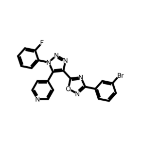 Fc1ccccc1-n1nnc(-c2nc(-c3cccc(Br)c3)no2)c1-c1ccncc1